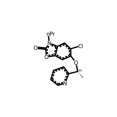 CCCn1c(=O)oc2cc(O[C@H](C)c3ccccn3)c(Cl)cc21